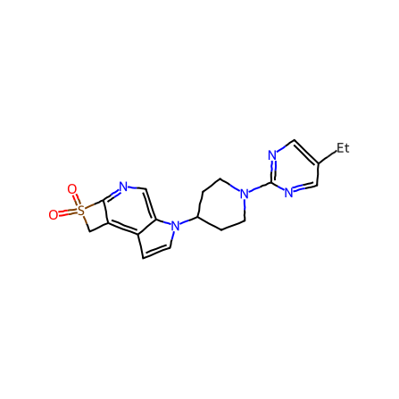 CCc1cnc(N2CCC(n3ccc4c5c(ncc43)S(=O)(=O)C5)CC2)nc1